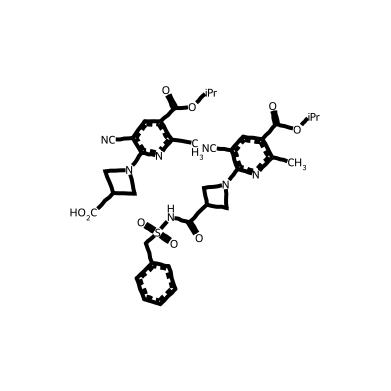 Cc1nc(N2CC(C(=O)NS(=O)(=O)Cc3ccccc3)C2)c(C#N)cc1C(=O)OC(C)C.Cc1nc(N2CC(C(=O)O)C2)c(C#N)cc1C(=O)OC(C)C